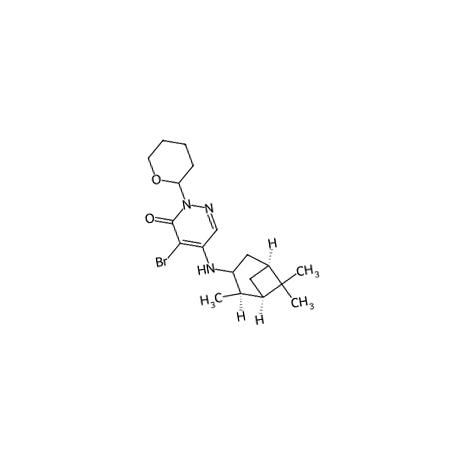 C[C@H]1C(Nc2cnn(C3CCCCO3)c(=O)c2Br)C[C@@H]2C[C@H]1C2(C)C